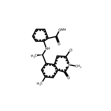 COC(=O)c1ccccc1N[C@H](C)c1cc(C)cc2c(=O)n(C)c(Cl)cc12